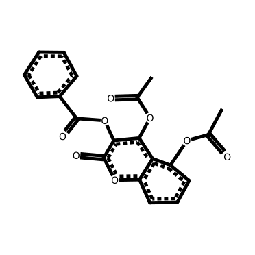 CC(=O)Oc1cccc2oc(=O)c(OC(=O)c3ccccc3)c(OC(C)=O)c12